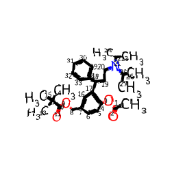 CC(=O)Oc1ccc(COC(=O)C(C)(C)C)cc1C(CCN(C(C)C)C(C)C)c1ccccc1